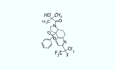 CC(C)(O)C(=O)N1CCC2(S(=O)(=O)c3ccccc3)c3ccc(C(F)(C(F)(F)F)C(F)(F)F)nc3CCC12